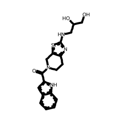 O=C(c1cc2ccccc2[nH]1)N1CCc2nc(NCC(O)CO)sc2C1